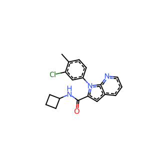 Cc1ccc(-n2c(C(=O)NC3CCC3)cc3cccnc32)cc1Cl